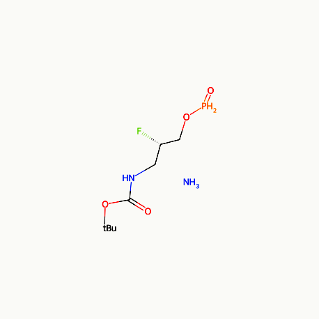 CC(C)(C)OC(=O)NC[C@H](F)CO[PH2]=O.N